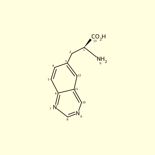 N[C@@H](Cc1ccc2ncncc2c1)C(=O)O